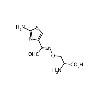 Nc1nc(C([C]=O)=NOCC(N)C(=O)O)cs1